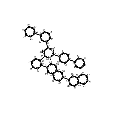 c1ccc(-c2ccc(-c3nc(-c4cccc(-c5ccccc5)c4)nc(-c4ccccc4-c4ccc5cc(-c6ccc7ccccc7c6)ccc5c4)n3)cc2)cc1